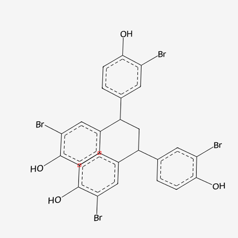 Oc1ccc(C(CC(c2ccc(O)c(Br)c2)c2ccc(O)c(Br)c2)c2ccc(O)c(Br)c2)cc1Br